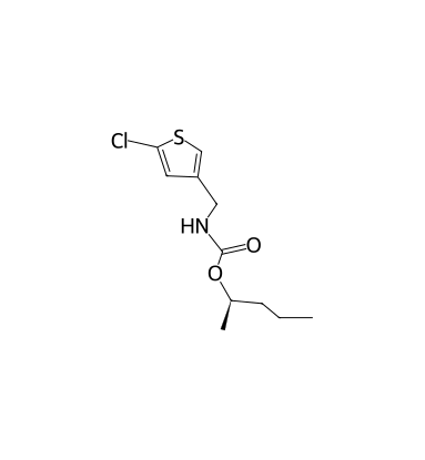 CCC[C@@H](C)OC(=O)NCc1csc(Cl)c1